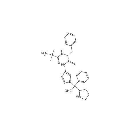 CC(C)(N)C(=O)N[C@H](Cc1ccccc1)C(=O)Nc1cn(C(C=O)(c2ccccc2)C2CCCN2)cn1